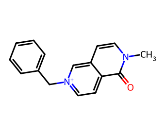 Cn1ccc2c[n+](Cc3ccccc3)ccc2c1=O